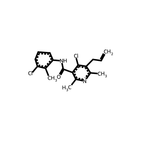 C=CCc1c(C)nc(C)c(C(=O)Nc2cccc(Cl)c2C)c1Cl